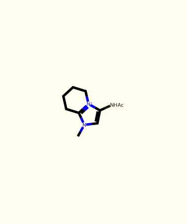 CC(=O)Nc1cn(C)c2[n+]1CCCC2